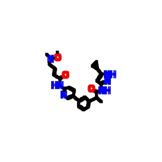 CON(C)CC=CC(=O)Nc1ccc(-c2cccc(C(C)C(=O)Nc3cc(C4CC4)[nH]n3)c2)cn1